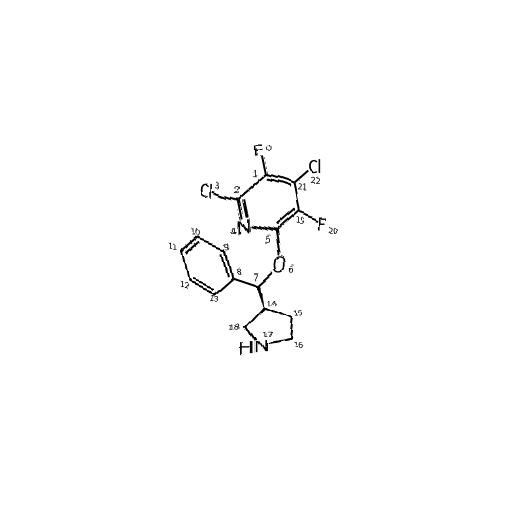 Fc1c(Cl)nc(OC(c2ccccc2)[C@H]2CCNC2)c(F)c1Cl